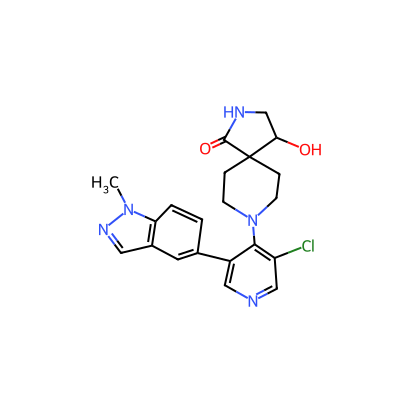 Cn1ncc2cc(-c3cncc(Cl)c3N3CCC4(CC3)C(=O)NCC4O)ccc21